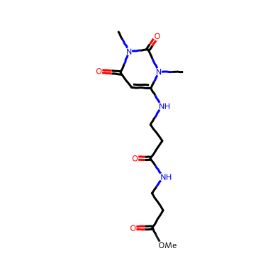 COC(=O)CCNC(=O)CCNc1cc(=O)n(C)c(=O)n1C